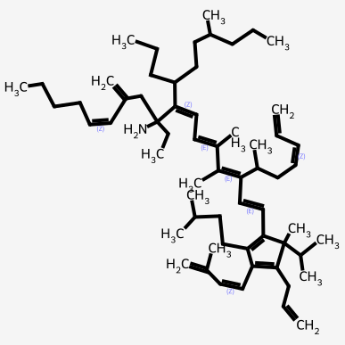 C=C/C=C\CC(C)C(/C=C/C1=C(CCC(C)C)C(/C=C\C(=C)C)=C(CC=C)C1(C)C(C)C)=C(C)\C(C)=C\C=C(\C(CCC)CCC(C)CCC)C(N)(CC)CC(=C)/C=C\CCCC